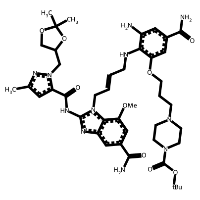 COc1cc(C(N)=O)cc2nc(NC(=O)c3cc(C)nn3CC3COC(C)(C)O3)n(C/C=C/CNc3c(N)cc(C(N)=O)cc3OCCCN3CCN(C(=O)OC(C)(C)C)CC3)c12